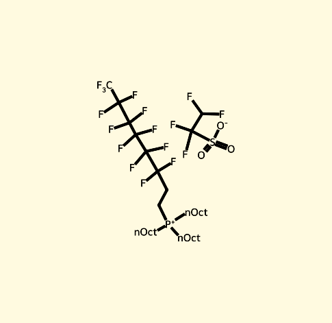 CCCCCCCC[P+](CCCCCCCC)(CCCCCCCC)CCC(F)(F)C(F)(F)C(F)(F)C(F)(F)C(F)(F)C(F)(F)F.O=S(=O)([O-])C(F)(F)C(F)F